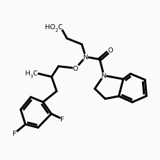 CC(CON(CCC(=O)O)C(=O)N1CCc2ccccc21)Cc1ccc(F)cc1F